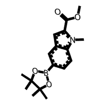 COC(=O)c1cc2cc(B3OC(C)(C)C(C)(C)O3)ccc2n1C